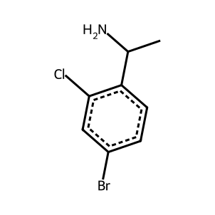 CC(N)c1ccc(Br)cc1Cl